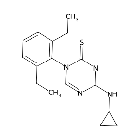 CCc1cccc(CC)c1-n1cnc(NC2CC2)nc1=S